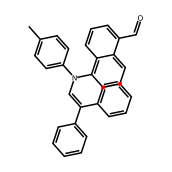 Cc1ccc(N(C=C(c2ccccc2)c2ccccc2)c2cccc3c(C=O)cccc23)cc1